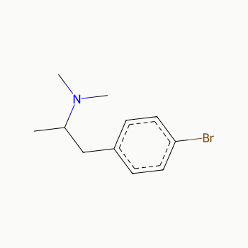 CC(Cc1ccc(Br)cc1)N(C)C